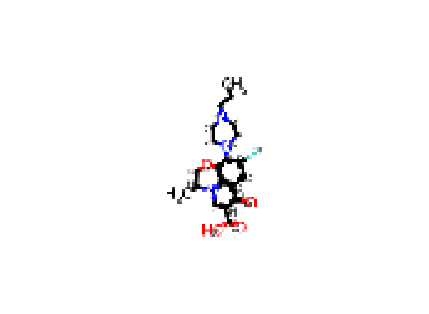 CCCN1CCN(c2c(F)cc3c(=O)c(C(=O)O)cn4c3c2OCC4C)CC1